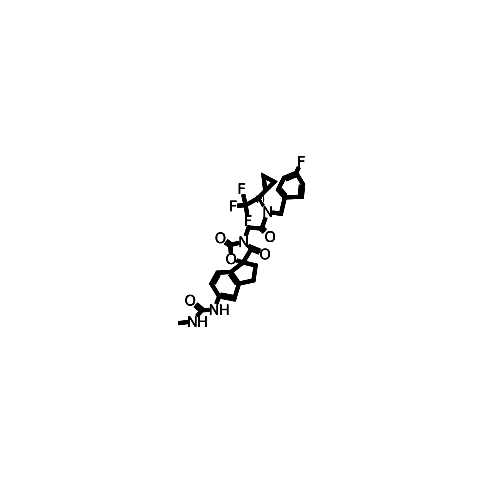 CNC(=O)Nc1ccc2c(c1)CCC21OC(=O)N(CC(=O)N(Cc2ccc(F)cc2)[C@H](C2CC2)C(F)(F)F)C1=O